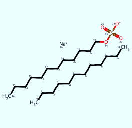 CCCCCCCCCCCC.CCCCCCCCCCCCOS(=O)(=O)[O-].[Na+]